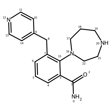 NC(=O)c1cccc(Cc2ccncc2)c1N1CCCNCC1